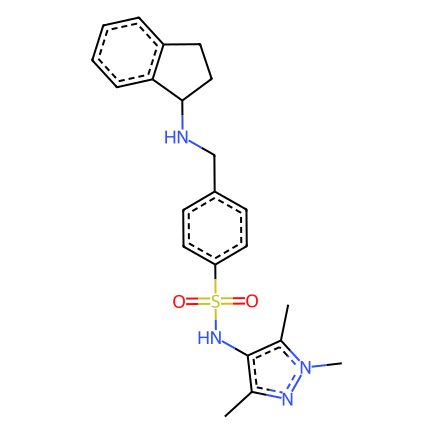 Cc1nn(C)c(C)c1NS(=O)(=O)c1ccc(CNC2CCc3ccccc32)cc1